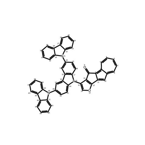 O=C1c2c3cccccc-3cc2-c2occ(-n3c4ccc(-n5c6ccccc6c6ccccc65)cc4c4cc(-n5c6ccccc6c6ccccc65)ccc43)c21